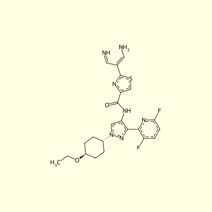 CCO[C@H]1CC[C@H](n2cc(NC(=O)c3csc(/C(C=N)=C/N)n3)c(-c3nc(F)ccc3F)n2)CC1